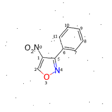 O=[N+]([O-])c1conc1-c1ccccc1